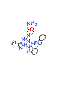 CC(C)c1cnn2c(NCc3ccccc3-c3cc4ccccc4[nH]3)nc(N3CCOC(CN)C3)nc12